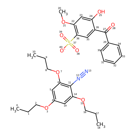 CCCOc1cc(OCCC)c([N+]#N)c(OCCC)c1.COc1cc(O)c(C(=O)c2ccccc2)cc1S(=O)(=O)[O-]